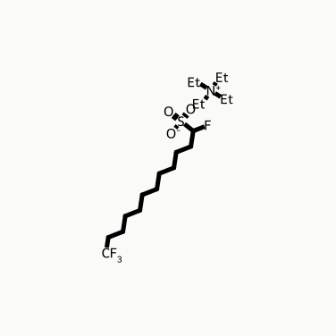 CC[N+](CC)(CC)CC.O=S(=O)([O-])C(F)CCCCCCCCCCC(F)(F)F